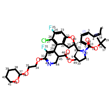 C=C(/C=C\C=C/C)[C@]1([C@@H]2CCCN2C(=O)OC(C)(C)C)Cc2c(cc(F)c(Cl)c2C2=C(F)C(OCCOC3CCCCO3)=NCC2C(=O)OC)O1